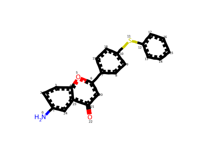 Nc1ccc2oc(-c3ccc(Sc4ccccc4)cc3)cc(=O)c2c1